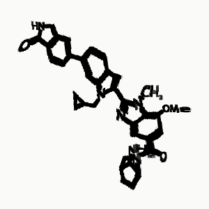 COc1cc(C(=O)N2CC3CCC2C3N)cc2nc(-c3cc4ccc(-c5ccc6c(c5)CNC6=O)cc4n3CC3CC3)n(C)c12